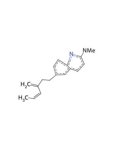 C=C(/C=C\C)CCc1ccc2nc(NC)ccc2c1